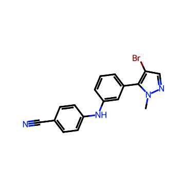 Cn1ncc(Br)c1-c1cccc(Nc2ccc(C#N)cc2)c1